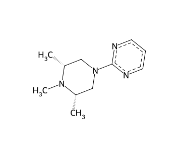 C[C@@H]1CN(c2ncccn2)C[C@H](C)N1C